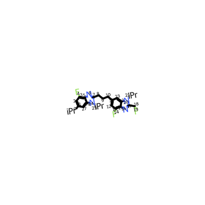 CC(C)c1cc(F)c2nc(CCCc3cc(F)c4nc(CF)n(C(C)C)c4c3)n(C(C)C)c2c1